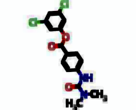 CN(C)C(=O)Nc1ccc(C(=O)Oc2cc(Cl)cc(Cl)c2)cc1